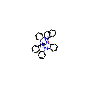 CN(c1ccccc1)C1C=CC=CC1N(c1ccccc1)[SiH]1N(c2ccccc2)c2ccccc2N1c1ccccc1